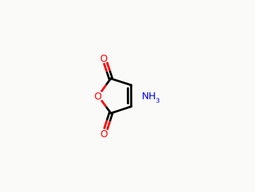 N.O=C1C=CC(=O)O1